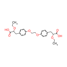 CCOC(Cc1ccc(OCCOc2ccc(CC(OCC)C(=O)O)cc2)cc1)C(=O)O